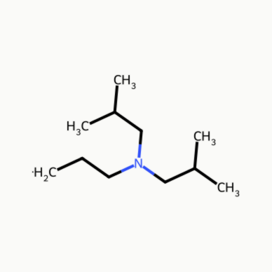 [CH2]CCN(CC(C)C)CC(C)C